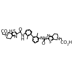 Cc1c(NC(=O)c2nc3c(s2)CN(CC(=O)O)CC3)cccc1-c1cccc(NC(=O)c2nc3c(s2)CN(CC(=O)O)CC3)c1C